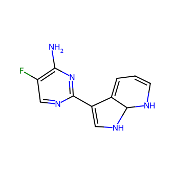 Nc1nc(C2=CNC3NC=CC=C23)ncc1F